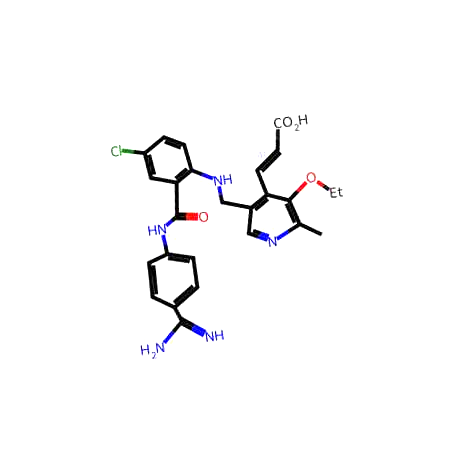 CCOc1c(C)ncc(CNc2ccc(Cl)cc2C(=O)Nc2ccc(C(=N)N)cc2)c1/C=C/C(=O)O